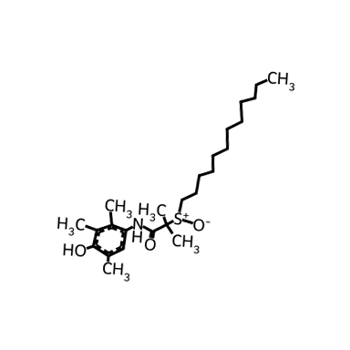 CCCCCCCCCCCC[S+]([O-])C(C)(C)C(=O)Nc1cc(C)c(O)c(C)c1C